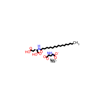 CCCCCCCCCCCCCCCCCC(=O)N[C@@H](CCC(=O)O)C(=O)O.N[C@@H](CCC(=O)[O-])C(=O)[O-].[Na+].[Na+]